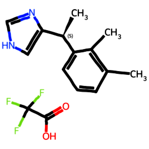 Cc1cccc([C@H](C)c2c[nH]cn2)c1C.O=C(O)C(F)(F)F